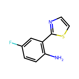 Nc1ccc(F)cc1-c1nccs1